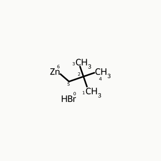 Br.CC(C)(C)[CH2][Zn]